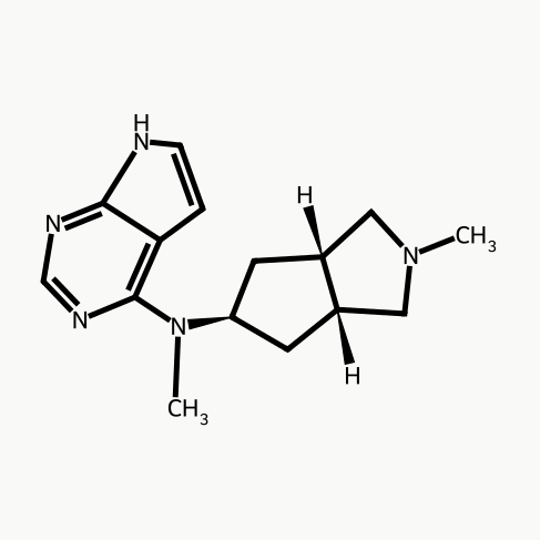 CN1C[C@H]2C[C@H](N(C)c3ncnc4[nH]ccc34)C[C@H]2C1